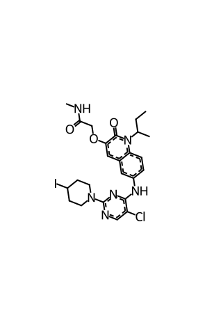 CCC(C)n1c(=O)c(OCC(=O)NC)cc2cc(Nc3nc(N4CCC(I)CC4)ncc3Cl)ccc21